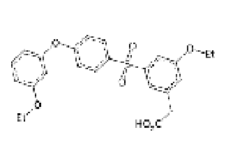 CCOc1cccc(Oc2ccc(S(=O)(=O)c3cc(CC(=O)O)cc(OCC)c3)cc2)c1